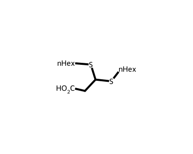 CCCCCCSC(CC(=O)O)SCCCCCC